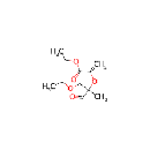 C=C(OC(C)(C=O)COCC)C(=O)OCC